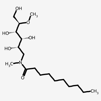 CCCCCCCCCC(=O)N(C)C[C@H](O)[C@@H](O)[C@H](O)[C@@H](CO)OC